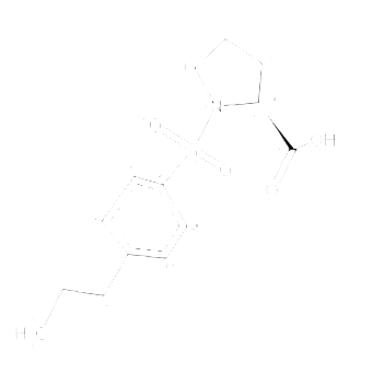 CCCc1ccc(S(=O)(=O)N2CCC[C@H]2C(=O)O)cc1